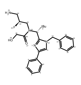 CC(C)(C)[C@H](c1nc(-c2ccccc2)cn1Cc1ccccc1)N(C[C@@H](F)CN)C(=O)CO